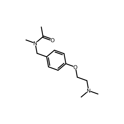 CC(=O)N(C)Cc1ccc(OCCN(C)C)cc1